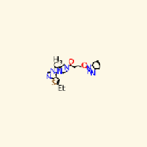 CCc1cc2c(N3CCN(C(=O)CCCOn4nnc5ccccc54)CC3C)ncnc2s1